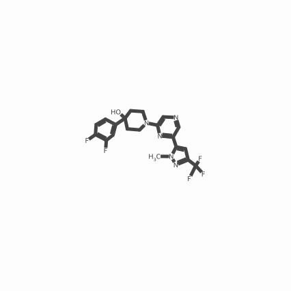 Cn1nc(C(F)(F)F)cc1-c1cncc(N2CCC(O)(c3ccc(F)c(F)c3)CC2)n1